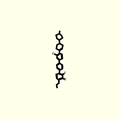 CCCc1ccc(-c2ccc(-c3ccc(C4=CCC(C5CCC(C)CC5)CC4)c(F)c3)cc2)c(F)c1F